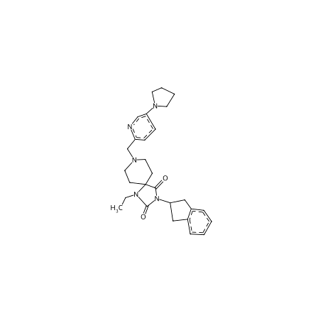 CCN1C(=O)N(C2Cc3ccccc3C2)C(=O)C12CCN(Cc1ccc(N3CCCC3)cn1)CC2